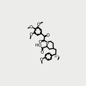 CC[C@@H](CC1CCN(C(=O)C(=O)c2cc(OC)c(OC)c(OC)c2)C(C(=O)O)C1)c1ccc(OC)cc1